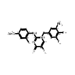 COc1ccc(Nc2nc(=O)c(F)cn2Cc2cc(F)c(F)c(P)c2)c(C)c1